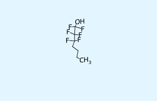 CCCCC(F)(F)C(F)(F)C(O)(F)F